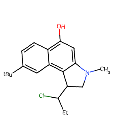 CCC(Cl)C1CN(C)c2cc(O)c3ccc(C(C)(C)C)cc3c21